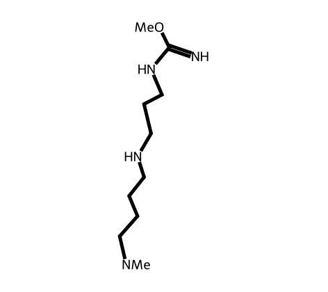 CNCCCCNCCCNC(=N)OC